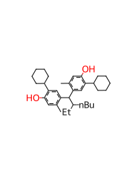 CCCCC(CC)C(c1cc(C2CCCCC2)c(O)cc1C)c1cc(C2CCCCC2)c(O)cc1C